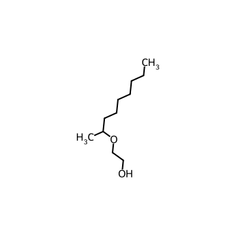 CCCCCCCC(C)OCCO